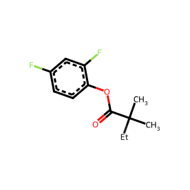 CCC(C)(C)C(=O)Oc1ccc(F)cc1F